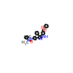 CN(C(=O)N(C)c1ccc(-c2cnc3[nH]c4ccc(CS(=O)(=O)c5ccccc5)cc4c3c2-c2ccccc2)cc1)c1ccccc1